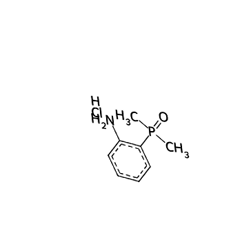 CP(C)(=O)c1ccccc1N.Cl